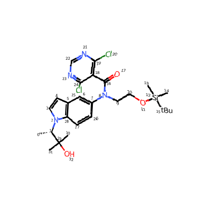 C[C@H](n1ccc2cc(N(CCO[Si](C)(C)C(C)(C)C)C(=O)c3c(Cl)ncnc3Cl)ccc21)C(C)(C)O